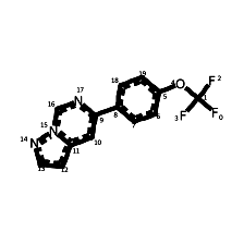 FC(F)(F)Oc1ccc(-c2cc3ccnn3cn2)cc1